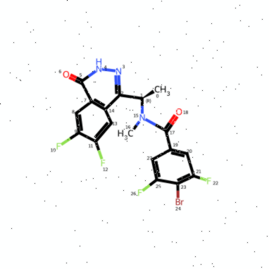 C[C@H](c1n[nH]c(=O)c2cc(F)c(F)cc12)N(C)C(=O)c1cc(F)c(Br)c(F)c1